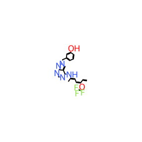 C=C/C(=C\C=C(/C)Nc1ncnc2nn(Cc3cccc(O)c3)cc12)OC(F)(F)F